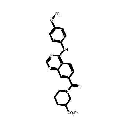 CCOC(=O)C1CCCN(C(=O)c2ccc3c(Nc4ccc(OC(F)(F)F)cc4)ncnc3c2)C1